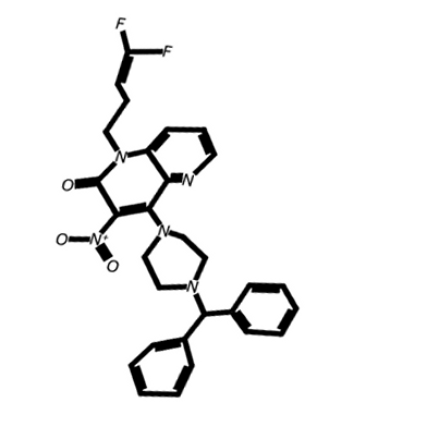 O=c1c([N+](=O)[O-])c(N2CCN(C(c3ccccc3)c3ccccc3)CC2)c2ncccc2n1CCC=C(F)F